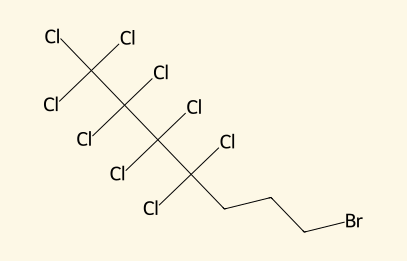 ClC(Cl)(Cl)C(Cl)(Cl)C(Cl)(Cl)C(Cl)(Cl)CCCBr